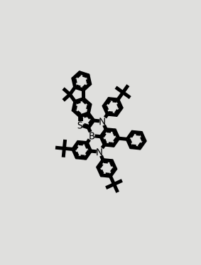 CC(C)(C)c1ccc(N2c3ccc(C(C)(C)C)cc3B3c4sc5cc6c(cc5c4N(c4ccc(C(C)(C)C)cc4)c4cc(-c5ccccc5)cc2c43)-c2ccccc2C6(C)C)cc1